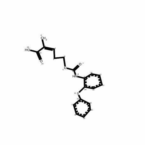 CC(=CCCOC(=O)Nc1ccccc1Sc1ccccc1)C(=O)O